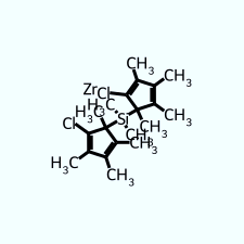 CC1=C(C)C(C)([Si](C)(C)C2(C)C(C)=C(C)C(C)=C2Cl)C(Cl)=C1C.[Zr]